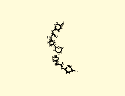 O=C(Cc1ccc(F)cn1)Nc1nnc([C@H]2CCC[C@H](c3nnc(NC(=O)Cc4ccc(F)cn4)s3)C2)s1